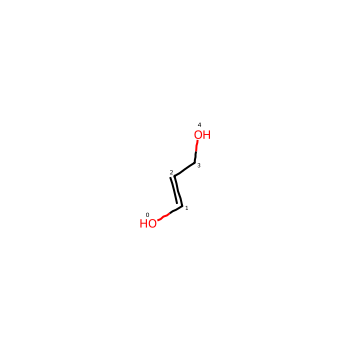 OC=CCO